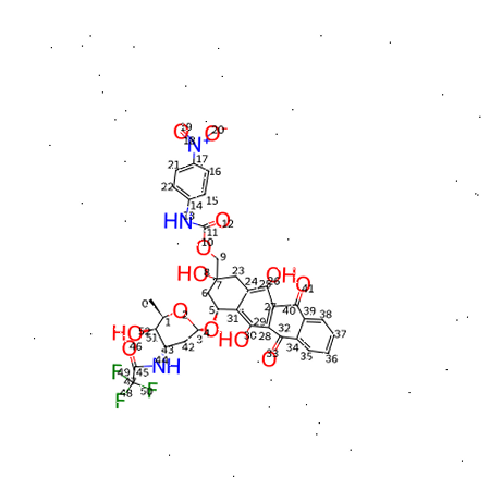 C[C@H]1O[C@@H](O[C@H]2CC(O)(COC(=O)Nc3ccc([N+](=O)[O-])cc3)Cc3c(O)c4c(c(O)c32)C(=O)c2ccccc2C4=O)C[C@H](NC(=O)C(F)(F)F)[C@H]1O